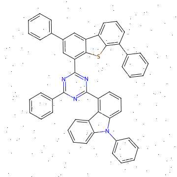 c1ccc(-c2cc(-c3nc(-c4ccccc4)nc(-c4cccc5c4c4ccccc4n5-c4ccccc4)n3)c3sc4c(-c5ccccc5)cccc4c3c2)cc1